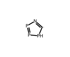 [c]1npp[pH]1